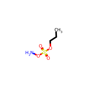 CCCOS(=O)(=O)ON